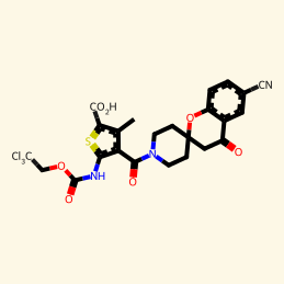 Cc1c(C(=O)O)sc(NC(=O)OCC(Cl)(Cl)Cl)c1C(=O)N1CCC2(CC1)CC(=O)c1cc(C#N)ccc1O2